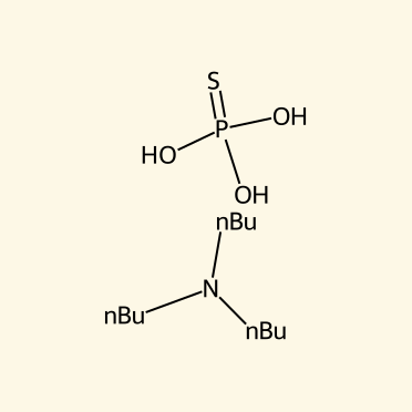 CCCCN(CCCC)CCCC.OP(O)(O)=S